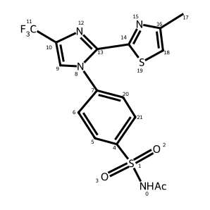 CC(=O)NS(=O)(=O)c1ccc(-n2cc(C(F)(F)F)nc2-c2nc(C)cs2)cc1